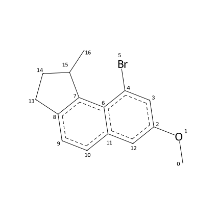 COc1cc(Br)c2c3c(ccc2c1)CCC3C